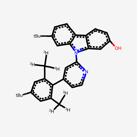 [2H]C([2H])([2H])c1cc(C(C)(C)C)cc(C([2H])([2H])[2H])c1-c1ccnc(-n2c3cc(O)ccc3c3ccc(C(C)(C)C)cc32)c1